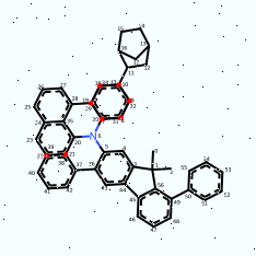 CC1(C)c2cc(N(c3ccc(C4CC5CCC4C5)cc3)c3cccc4cccc(C5CCCCC5)c34)c(-c3ccccc3)cc2-c2cccc(-c3ccccc3)c21